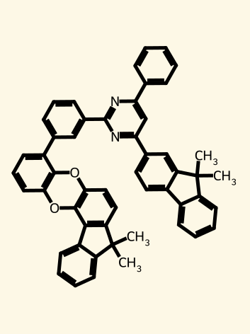 CC1(C)c2ccccc2-c2ccc(-c3cc(-c4ccccc4)nc(-c4cccc(-c5cccc6c5Oc5ccc7c(c5O6)-c5ccccc5C7(C)C)c4)n3)cc21